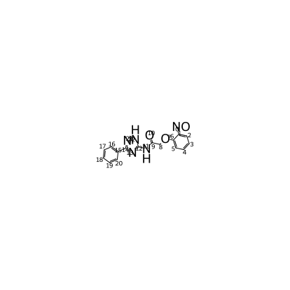 O=Nc1ccccc1OCC(=O)Nc1nc(-c2ccccc2)n[nH]1